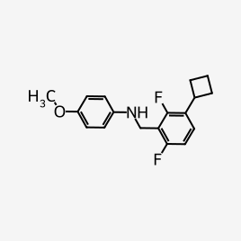 COc1ccc(NCc2c(F)ccc(C3CCC3)c2F)cc1